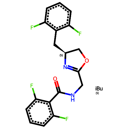 CC[C@H](C)C(NC(=O)c1c(F)cccc1F)C1=N[C@@H](Cc2c(F)cccc2F)CO1